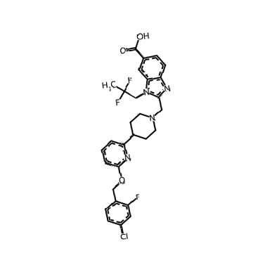 CC(F)(F)Cn1c(CN2CCC(c3cccc(OCc4ccc(Cl)cc4F)n3)CC2)nc2ccc(C(=O)O)cc21